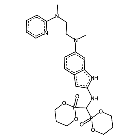 CN(CCN(C)c1ccccn1)c1ccc2cc(NC(P3(=O)OCCCO3)P3(=O)OCCCO3)[nH]c2c1